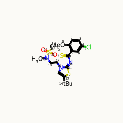 COc1ccc(Cl)cc1C(=S)N=c1sc(C(C)(C)C)cn1CCN(C)S(C)(=O)=O